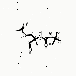 CC(=O)OC[C@@](C)(C=O)NC(=O)OC(C)(C)C